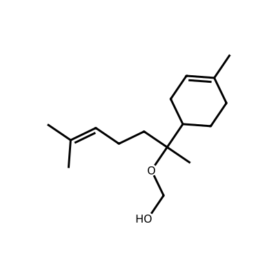 CC(C)=CCCC(C)(OCO)C1CC=C(C)CC1